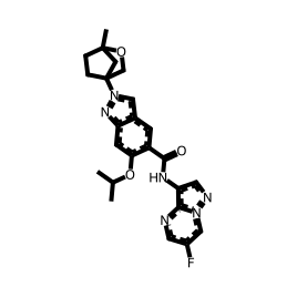 CC(C)Oc1cc2nn(C34CCC(C)(C3)OC4)cc2cc1C(=O)Nc1cnn2cc(F)cnc12